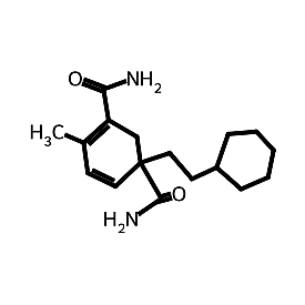 CC1=C(C(N)=O)CC(CCC2CCCCC2)(C(N)=O)C=C1